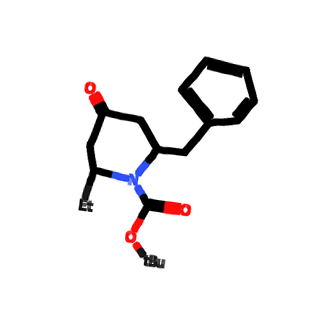 CCC1CC(=O)CC(Cc2ccccc2)N1C(=O)OC(C)(C)C